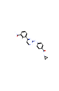 Cc1c(C(N)=O)cccc1-c1ccnc(Nc2ccc(C(=O)NC3CC3)cc2)n1